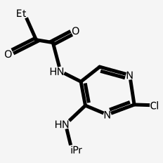 CCC(=O)C(=O)Nc1cnc(Cl)nc1NC(C)C